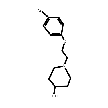 CC(=O)c1ccc(OCCN2CCC(C)CC2)cc1